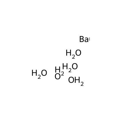 O.O.O.O.O.[Ba]